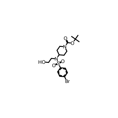 CC(C)(C)OC(=O)N1CCC(N(CCO)S(=O)(=O)c2ccc(Br)cc2)CC1